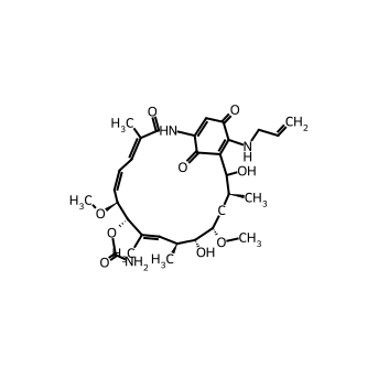 C=CCNC1=C2C(=O)C(=CC1=O)NC(=O)/C(C)=C/C=C\[C@H](OC)[C@@H](OC(N)=O)/C(C)=C/[C@H](C)[C@@H](O)[C@@H](OC)C[C@H](C)C2O